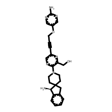 Nc1ncc(OCC#Cc2cnc(N3CCC4(CC3)Cc3ccccc3[C@H]4N)c(CO)n2)cn1